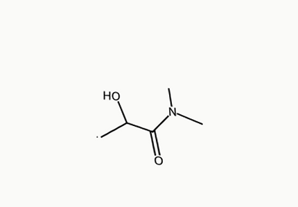 [CH2]C(O)C(=O)N(C)C